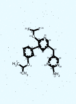 CC(C)Oc1cccc(-c2cc(Cc3cnc(N)nc3)cnc2OC(F)F)c1